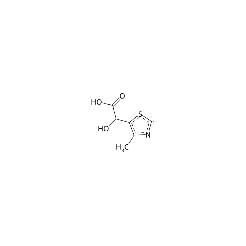 Cc1n[c]sc1C(O)C(=O)O